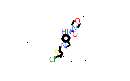 O=C(Nc1ccc2c(c1)CCN2Cc1ccc(Cl)s1)N1CCOCC1